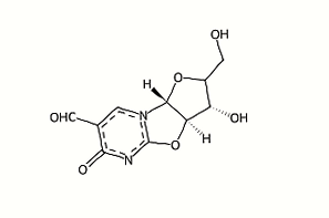 O=Cc1cn2c(nc1=O)O[C@H]1[C@H]2OC(CO)[C@@H]1O